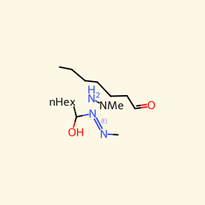 CCCCCCC(O)/N=N/C.CCCCCCC=O.CNN